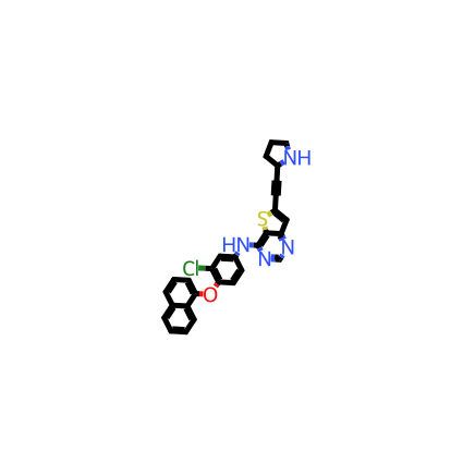 Clc1cc(Nc2ncnc3cc(C#CC4CCCN4)sc23)ccc1Oc1cccc2ccccc12